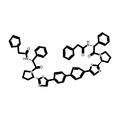 O=C(Cc1ccccc1)N[C@@H](C(=O)N1CCC[C@H]1c1ncc(-c2ccc(-c3ccc(-c4cnc([C@@H]5CCCN5C(=O)[C@H](NC(=O)Cc5ccccc5)c5ccccc5)s4)cc3)cc2)s1)c1ccccc1